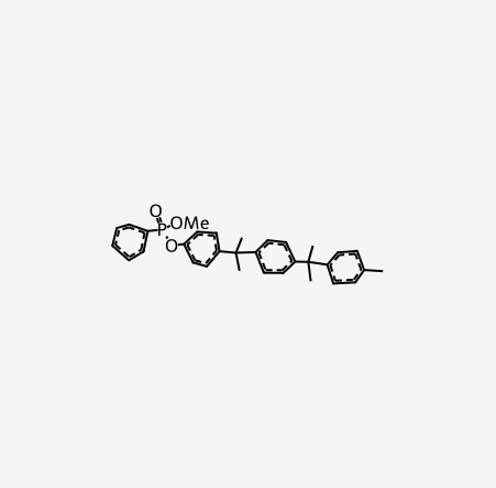 COP(=O)(Oc1ccc(C(C)(C)c2ccc(C(C)(C)c3ccc(C)cc3)cc2)cc1)c1ccccc1